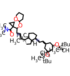 C[C@H](/C=C/C(OC1CCCCO1)C1(C(=O)N(C)C)CC1)[C@H]1CC[C@H]2/C(=C/C=C3C[C@@H](O[Si](C)(C)C(C)(C)C)C[C@H](O[Si](C)(C)C(C)(C)C)C3)CCC[C@]12C